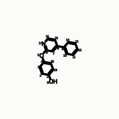 Oc1ccc(Oc2cc(-c3ccccc3)ccn2)cc1